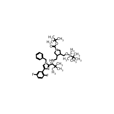 CC(C)(C)OC(=O)N1CC(CN[C@@H](c2nc(-c3cc(F)ccc3F)cn2Cc2ccccc2)C(C)(C)C)C(CO[Si](C)(C)C(C)(C)C)C1